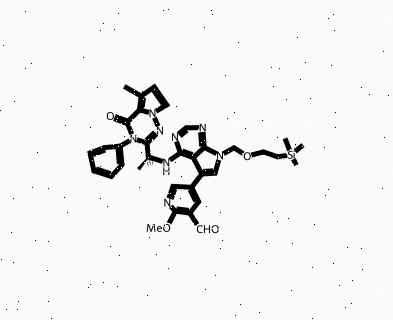 COc1ncc(-c2cn(COCC[Si](C)(C)C)c3ncnc(N[C@@H](C)c4nn5ccc(C)c5c(=O)n4-c4ccccc4)c23)cc1C=O